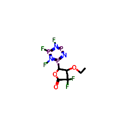 CCOC1C(p2npn(F)p(F)n2F)OC(=O)C1(F)F